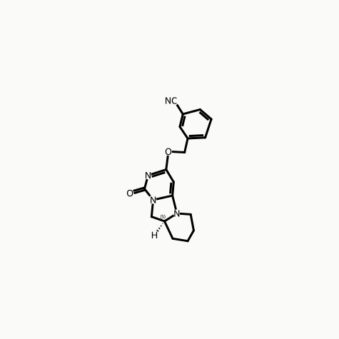 N#Cc1cccc(COc2cc3n(c(=O)n2)C[C@@H]2CCCCN32)c1